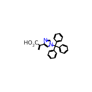 C=C(C(=O)O)c1cn(C(c2ccccc2)(c2ccccc2)c2ccccc2)cn1